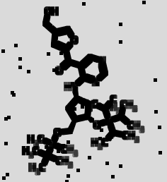 CC(C)[Si](O[C@H]1C[C@H](Nc2ncncc2C(=O)c2cc(CO)co2)C[C@@H]1CO[Si](C)(C)C(C)(C)C)(C(C)C)C(C)C